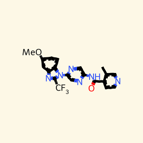 COc1ccc2c(c1)nc(C(F)(F)F)n2-c1cnc(NC(=O)c2ccncc2C)cn1